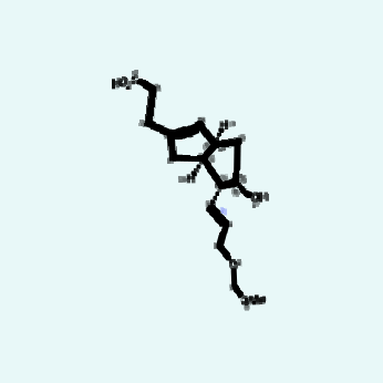 COCOC/C=C/[C@@H]1[C@H]2CC(CCC(=O)O)=C[C@H]2C[C@H]1O